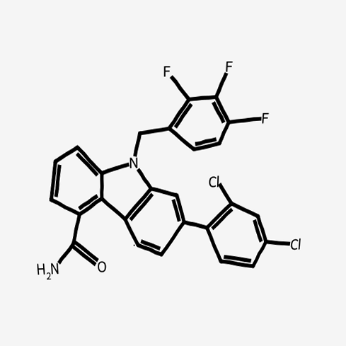 NC(=O)c1cccc2c1c1[c]cc(-c3ccc(Cl)cc3Cl)cc1n2Cc1ccc(F)c(F)c1F